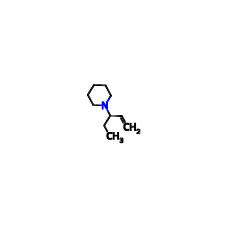 C=CC(CC)N1CCCCC1